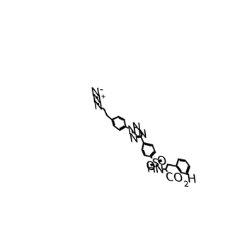 [N-]=[N+]=NCCc1ccc(-n2nnc(-c3ccc(S(=O)(=O)NC(Cc4ccccc4)C(=O)O)cc3)n2)cc1